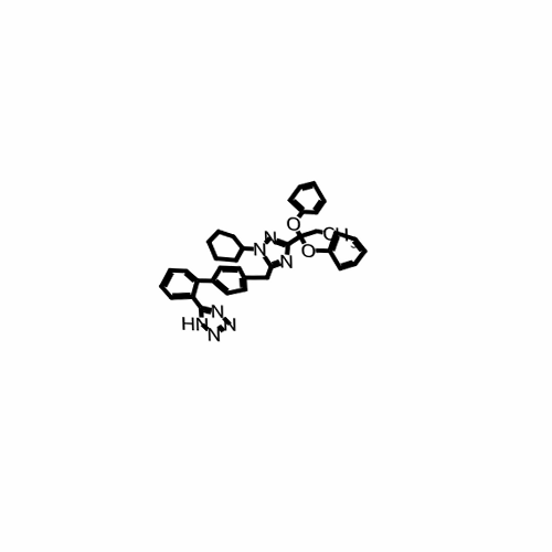 CCC(Oc1ccccc1)(Oc1ccccc1)c1nc(Cc2ccc(-c3ccccc3-c3nnn[nH]3)cc2)n(C2CCCCC2)n1